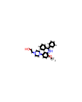 OCCN1CCN(c2ccc(OC(F)(F)F)c(NC(c3ccccc3)c3ccccc3)c2)CC1